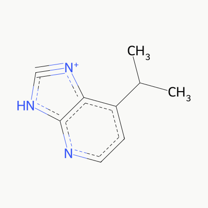 CC(C)c1ccnc2[nH]c#[n+]c12